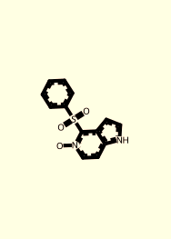 O=S(=O)(c1ccccc1)c1c2cc[nH]c2cc[n+]1[O-]